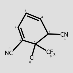 N#CC1=CC=CC(C#N)C1(Cl)C(F)(F)F